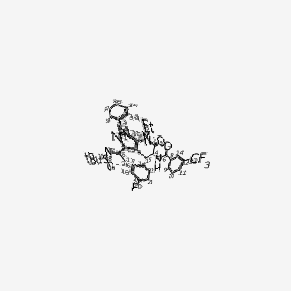 CCN1C(=O)[C@H](NC(=O)c2cccc(C(F)(F)F)c2)[C@H](c2ccc(F)cc2)c2c(/C(C)=N/[S@+]([O-])C(C)(C)C)nn(-c3ccccc3)c21